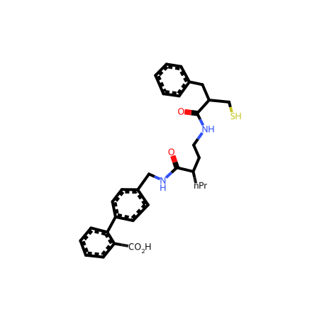 CCCC(CCNC(=O)C(CS)Cc1ccccc1)C(=O)NCc1ccc(-c2ccccc2C(=O)O)cc1